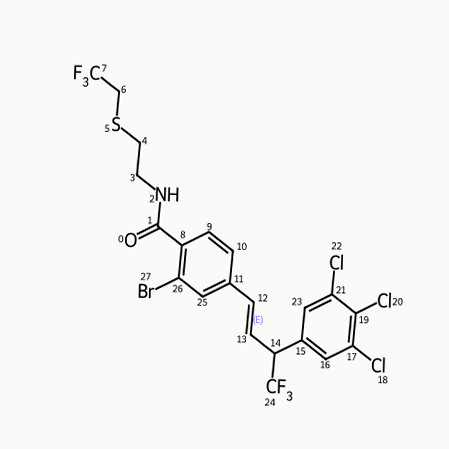 O=C(NCCSCC(F)(F)F)c1ccc(/C=C/C(c2cc(Cl)c(Cl)c(Cl)c2)C(F)(F)F)cc1Br